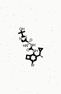 C[C@@H](c1cc(Br)c2c(c1NC(=O)N[S@@](=N)(=O)c1cnc(C(C)(C)O)s1)CC2)C1CC1